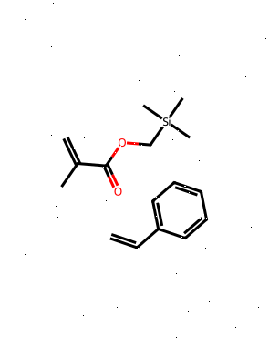 C=C(C)C(=O)OC[Si](C)(C)C.C=Cc1ccccc1